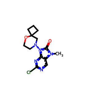 Cn1c(=O)n(N2CCOC3(CCC3)C2)c2nc(Cl)ncc21